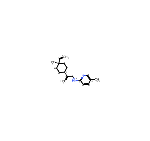 C=C[C@]1(C)CC[C@@H](C(=C)CNc2ccc(C)cn2)CC1